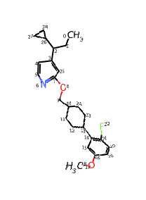 CCC(c1ccnc(OCC2CCC(c3cc(OC)ccc3F)CC2)c1)C1CC1